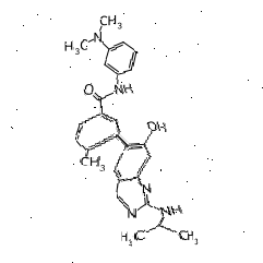 Cc1ccc(C(=O)Nc2cccc(N(C)C)c2)cc1-c1cc2cnc(NC(C)C)nc2cc1O